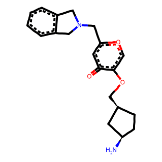 N[C@@H]1CC[C@H](COc2coc(CN3Cc4ccccc4C3)cc2=O)C1